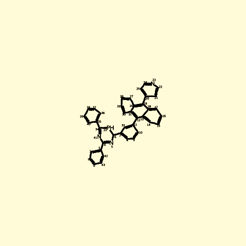 c1ccc(C2=NC(c3cccc(-c4c5ccccc5c(-c5ccncc5)c5ccccc45)c3)PC(c3ccccc3)=N2)cc1